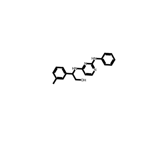 Cc1cccc(C(CO)Nc2ccnc(Nc3ccccc3)n2)c1